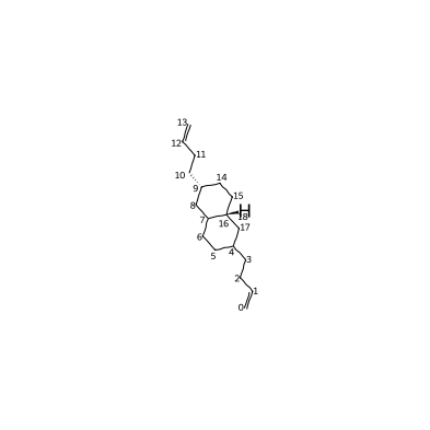 C=CCCC1CCC2C[C@H](CCC=C)CC[C@@H]2C1